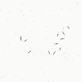 COC(=O)Nc1cc(C(F)(F)F)c(-c2nc(N3CCCCC3)c3cc(CN4CCN(C(=O)CCC(=O)/C=C/CN(C)C)CC4)cn3n2)cn1